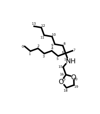 CCCCCCC(C)(CCCCCC)NCC1OCCO1